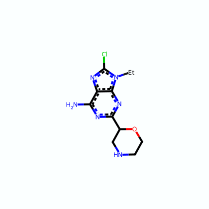 CCn1c(Cl)nc2c(N)nc(C3CNCCO3)nc21